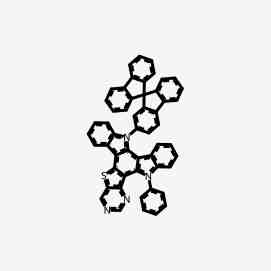 c1ccc(-n2c3ccccc3c3c4c(c5ccccc5n4-c4ccc5c(c4)C4(c6ccccc6-c6ccccc64)c4ccccc4-5)c4sc5cncnc5c4c32)cc1